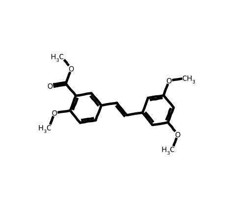 COC(=O)c1cc(C=Cc2cc(OC)cc(OC)c2)ccc1OC